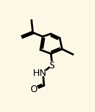 C=C(C)c1ccc(C)c(SNC=O)c1